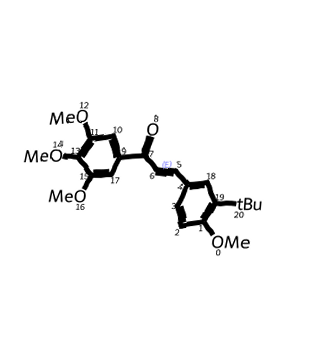 COc1ccc(/C=C/C(=O)c2cc(OC)c(OC)c(OC)c2)cc1C(C)(C)C